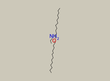 CCCCCCCCCCCCCOCCCCCCCCCCCCC.CCCN